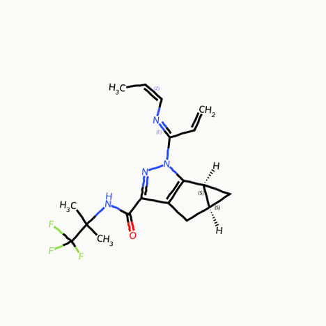 C=C/C(=N\C=C/C)n1nc(C(=O)NC(C)(C)C(F)(F)F)c2c1[C@H]1C[C@H]1C2